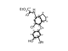 CCOC(=O)C(=O)Nc1cc(Cl)c(Oc2ccc(O)c(C(C)C)c2)c2c1CCC2